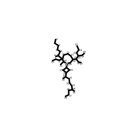 CCCCCC(C)C1(CCC)CCCC(C(CC)C(CC)CCC)CN(C2CC(C(C)CCCC(C)CCC)C2)C1C